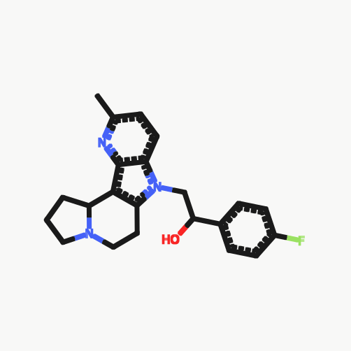 Cc1ccc2c(n1)c1c(n2CC(O)c2ccc(F)cc2)CCN2CCCC12